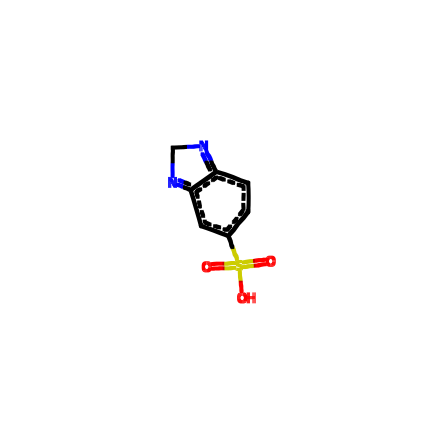 O=S(=O)(O)c1ccc2c(c1)=NCN=2